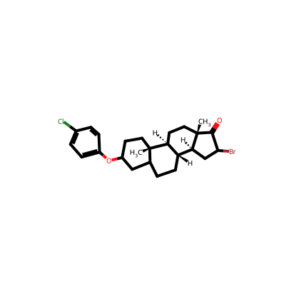 C[C@]12CCC(Oc3ccc(Cl)cc3)CC1CC[C@@H]1[C@@H]2CC[C@]2(C)C(=O)C(Br)C[C@@H]12